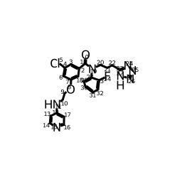 O=C(c1cc(Cl)cc(OCCNc2ccncc2)c1)N(CCCc1nnn[nH]1)c1ccccc1F